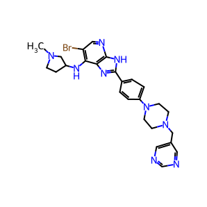 CN1CCC(Nc2c(Br)cnc3[nH]c(-c4ccc(N5CCN(Cc6cncnc6)CC5)cc4)nc23)C1